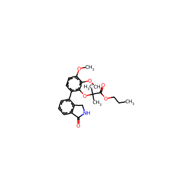 CCCOC(=O)C(C)(C)Oc1c(-c2cccc3c2CNC3=O)ccc(OC)c1OC